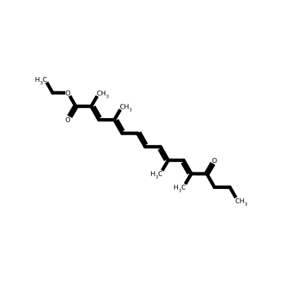 CCCC(=O)/C(C)=C/C(C)=C/C=C/C=C(C)/C=C(\C)C(=O)OCC